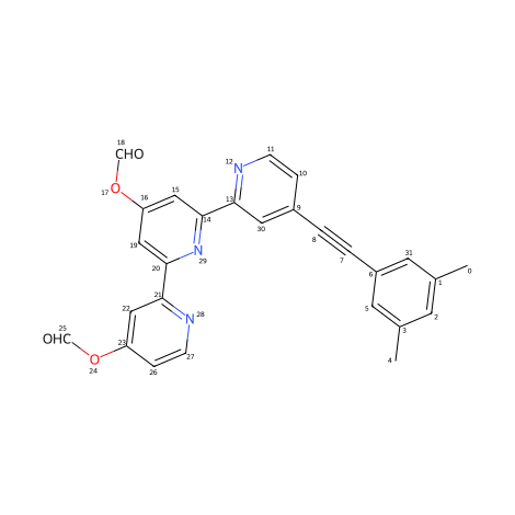 Cc1cc(C)cc(C#Cc2ccnc(-c3cc(OC=O)cc(-c4cc(OC=O)ccn4)n3)c2)c1